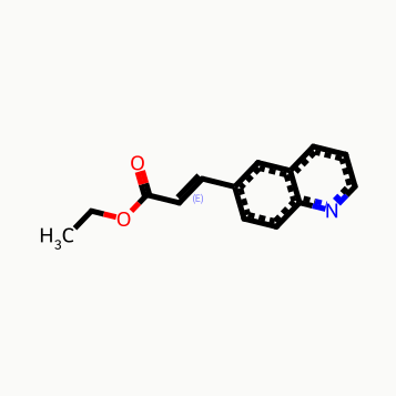 CCOC(=O)/C=C/c1ccc2ncccc2c1